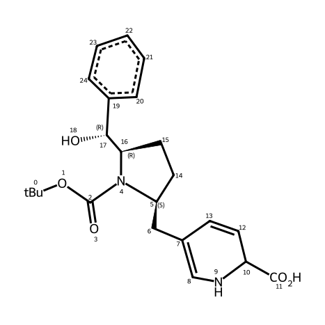 CC(C)(C)OC(=O)N1[C@H](CC2=CNC(C(=O)O)C=C2)CC[C@@H]1[C@H](O)c1ccccc1